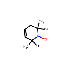 CC1(C)C=CCC(C)(C)N1O